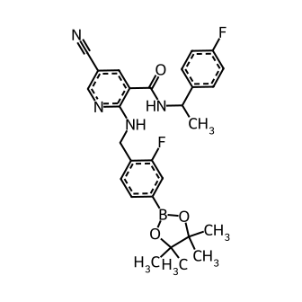 CC(NC(=O)c1cc(C#N)cnc1NCc1ccc(B2OC(C)(C)C(C)(C)O2)cc1F)c1ccc(F)cc1